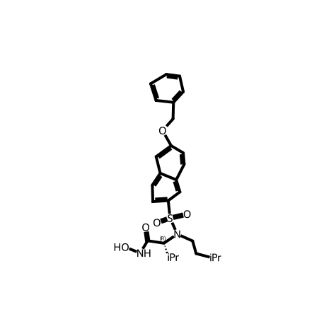 CC(C)CCN([C@@H](C(=O)NO)C(C)C)S(=O)(=O)c1ccc2cc(OCc3ccccc3)ccc2c1